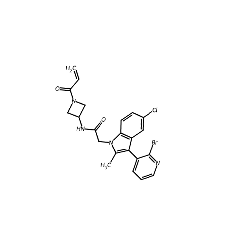 C=CC(=O)N1CC(NC(=O)Cn2c(C)c(-c3cccnc3Br)c3cc(Cl)ccc32)C1